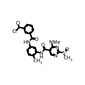 CNc1nc([S+](C)[O-])ncc1C(=O)Nc1cc(NC(=O)c2cccc(C(Cl)Cl)c2)ccc1C